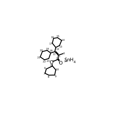 CC(C(=O)OC1CCCCC1)=C(C1CCCCC1)C1CCCCC1.[SnH4]